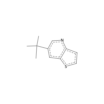 CC(C)(C)c1cnc2ccsc2c1